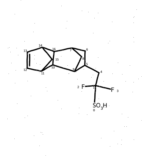 O=S(=O)(O)C(F)(F)CC1CC2CC1C1C3C=CC(C3)C21